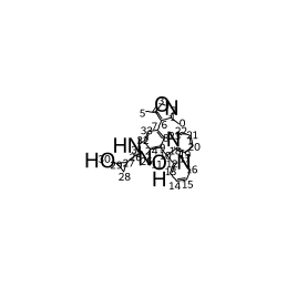 Cc1noc(C)c1-c1cc(C(O)(c2ccccn2)c2ccccn2)c2nc(C3CC3O)[nH]c2c1